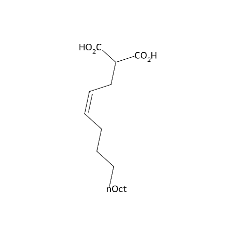 CCCCCCCCCCC/C=C\CC(C(=O)O)C(=O)O